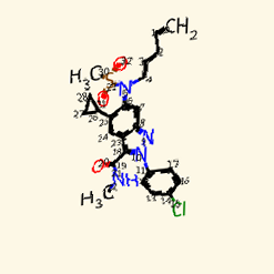 C=CCCCN(c1cc2nn(-c3ccc(Cl)cc3)c(C(=O)NC)c2cc1C1CC1)S(C)(=O)=O